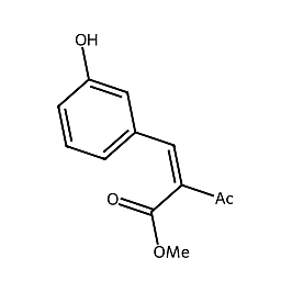 COC(=O)C(=Cc1cccc(O)c1)C(C)=O